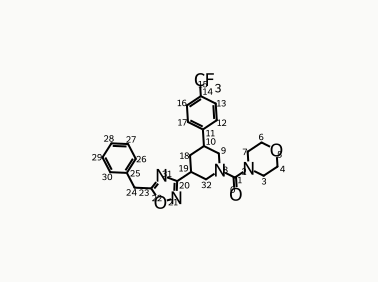 O=C(N1CCOCC1)N1CC(c2ccc(C(F)(F)F)cc2)CC(c2noc(Cc3ccccc3)n2)C1